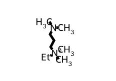 CC[N+](C)(C)CCCN(C)C